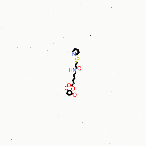 O=C(CCSSc1ccccn1)NCCCCCC(=O)OC1C(=O)CCC1=O